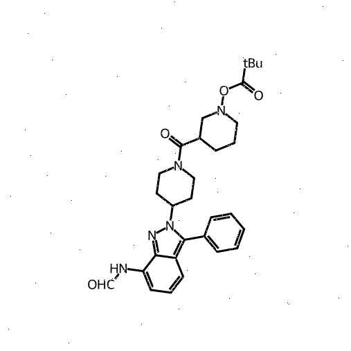 CC(C)(C)C(=O)ON1CCCC(C(=O)N2CCC(n3nc4c(NC=O)cccc4c3-c3ccccc3)CC2)C1